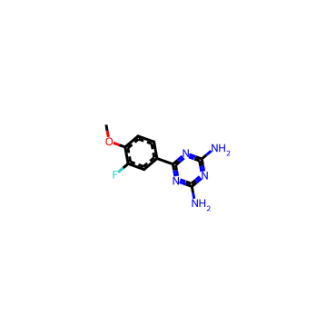 COc1ccc(-c2nc(N)nc(N)n2)cc1F